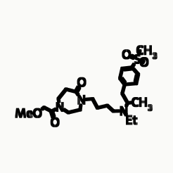 CCN(CCCCN1CCN(C(=O)COC)CCC1=O)C(C)Cc1ccc(S(C)(=O)=O)cc1